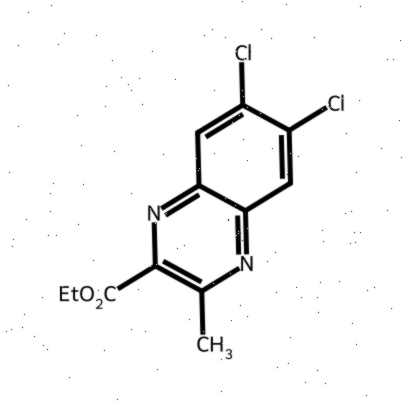 CCOC(=O)c1nc2cc(Cl)c(Cl)cc2nc1C